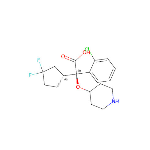 O=C(O)[C@](OC1CCNCC1)(c1ccccc1Cl)[C@@H]1CCC(F)(F)C1